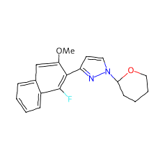 COc1cc2ccccc2c(F)c1-c1ccn(C2CCCCO2)n1